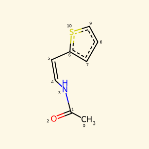 CC(=O)N/C=C\c1cccs1